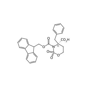 O=C(OCC1c2ccccc2-c2ccccc21)N1[C@](Cc2ccccc2)(C(=O)O)CCOS1(=O)=O